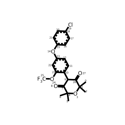 CC1(C)OC(C)(C)C(=O)C(c2ccc(Oc3ccc(Cl)cc3)cc2OC(F)(F)F)C1=O